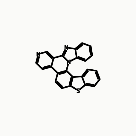 c1ccc2c(c1)nc1c3cnccc3c3ccc4sc5ccccc5c4c3n21